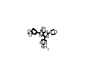 CC(C)n1c(-c2ccc3c(c2)OCO3)nc2c(-c3cnc(N)nc3)nc(N3CCOCC3)nc21